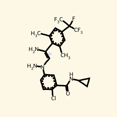 Cc1cc(C(F)(C(F)(F)F)C(F)(F)F)cc(C)c1/C(N)=C/N(N)c1ccc(Cl)c(C(=O)NC2CC2)c1